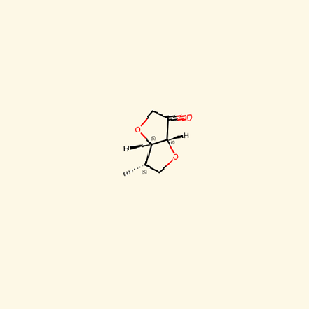 C[C@H]1CO[C@H]2C(=O)CO[C@@H]12